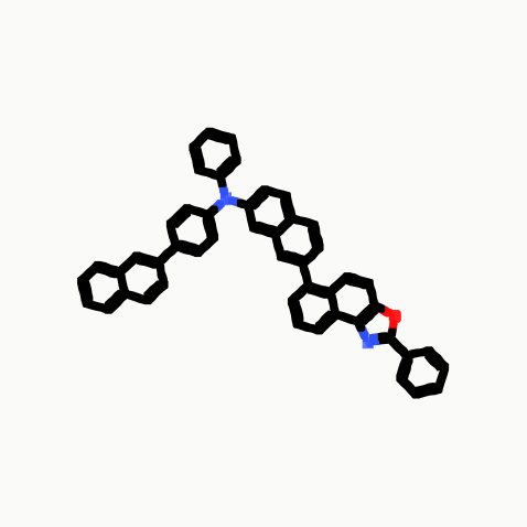 c1ccc(-c2nc3c(ccc4c(-c5ccc6ccc(N(c7ccccc7)c7ccc(-c8ccc9ccccc9c8)cc7)cc6c5)cccc43)o2)cc1